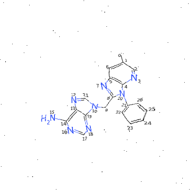 Cc1cnc2c(c1)nc(Cn1cnc3c(N)ncnc31)n2-c1ccccc1